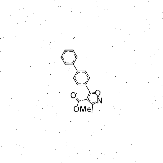 COC(=O)c1c(C)noc1-c1ccc(-c2ccccc2)cc1